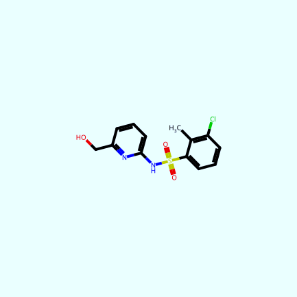 Cc1c(Cl)cccc1S(=O)(=O)Nc1cccc(CO)n1